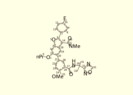 CCCOc1cc2oc(-c3ccc(F)cc3)c(C(=O)NC)c2cc1-c1ccc(OC)c(C(=O)NC(C)(C)c2ncon2)c1